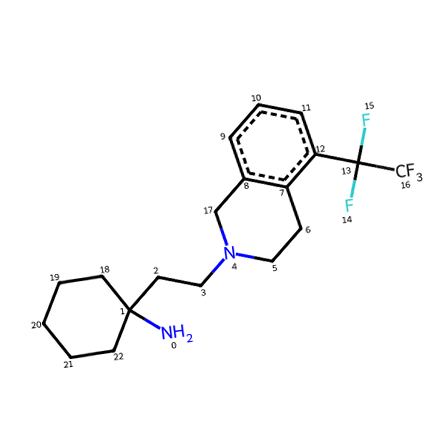 NC1(CCN2CCc3c(cccc3C(F)(F)C(F)(F)F)C2)CCCCC1